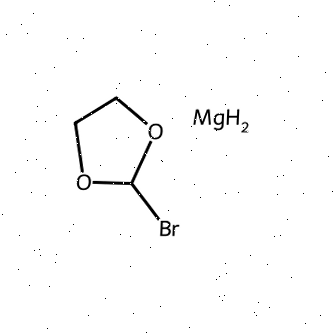 BrC1OCCO1.[MgH2]